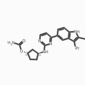 Cc1[nH]c2ccc(-c3ccnc(N[C@H]4CC[C@H](OC(N)=O)C4)n3)cc2c1C(C)C